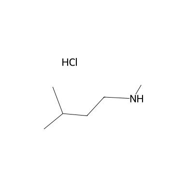 CNCCC(C)C.Cl